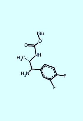 C[C@H](NC(=O)OC(C)(C)C)[C@H](N)c1ccc(F)c(F)c1